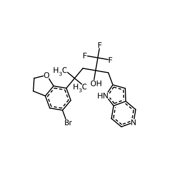 CC(C)(CC(O)(Cc1cc2cnccc2[nH]1)C(F)(F)F)c1cc(Br)cc2c1OCC2